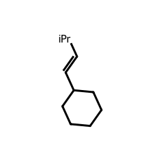 CC(C)C=CC1CCCCC1